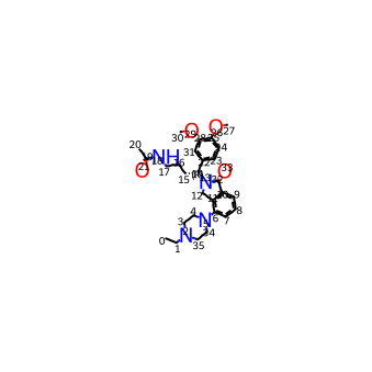 CCN1CCN(c2cccc3c2CN([C@H](CCCNC(C)=O)c2ccc(OC)c(OC)c2)C3=O)CC1